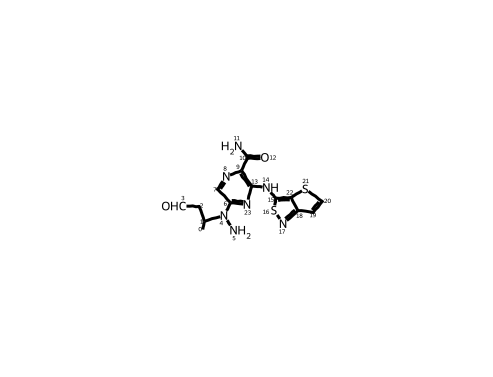 CC(CC=O)N(N)c1cnc(C(N)=O)c(Nc2snc3ccsc23)n1